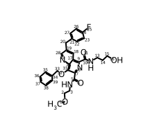 COCCNC(=O)c1nc(C(=O)NCCCO)c2cc(Cc3ccc(F)cc3)cnc2c1OCc1ccccc1